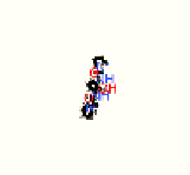 O=C(C[n+]1ccccc1)Nc1cccc(NC(=O)C[n+]2ccccc2)c1O